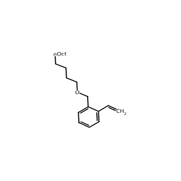 C=Cc1ccccc1COCCCCCCCCCCCC